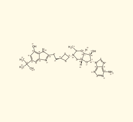 CC1O[C@H]2[C@@H](O)[C@H](n3cnc4c(N)ncnc43)O[C@@H]2CN1[C@H]1C[C@H](CCc2nc3cc(C(C)(C)C)cc(O)c3[nH]2)C1